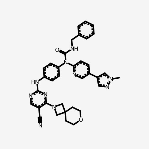 Cn1cc(-c2ccc(N(C(=O)NCc3ccccc3)c3ccc(Nc4ncc(C#N)c(N5CC6(CCOCC6)C5)n4)cc3)nc2)cn1